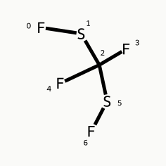 FSC(F)(F)SF